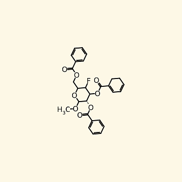 COC1OC(COC(=O)c2ccccc2)C(F)C(OC(=O)C2=CC=CCC2)[C@@H]1OC(=O)c1ccccc1